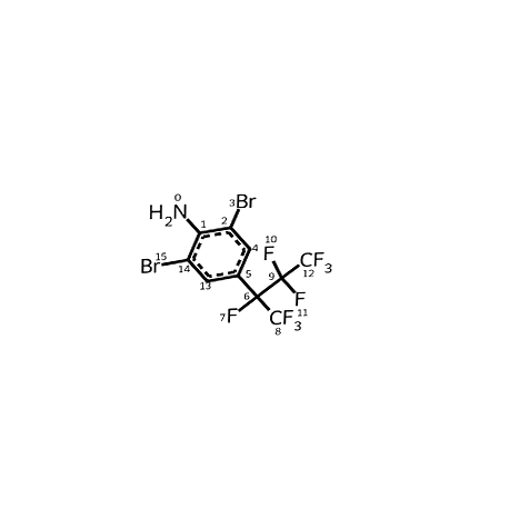 Nc1c(Br)cc(C(F)(C(F)(F)F)C(F)(F)C(F)(F)F)cc1Br